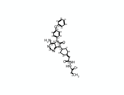 C=CC(=O)NNC(=O)C=C1CCC(n2c(=O)n(-c3ccc(Oc4ccccc4)cc3)c3c(N)ncnc32)CC1